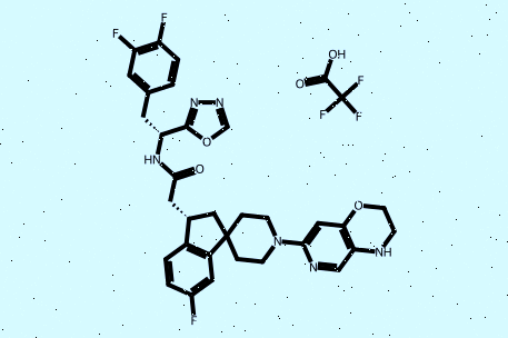 O=C(C[C@@H]1CC2(CCN(c3cc4c(cn3)NCCO4)CC2)c2cc(F)ccc21)N[C@H](Cc1ccc(F)c(F)c1)c1nnco1.O=C(O)C(F)(F)F